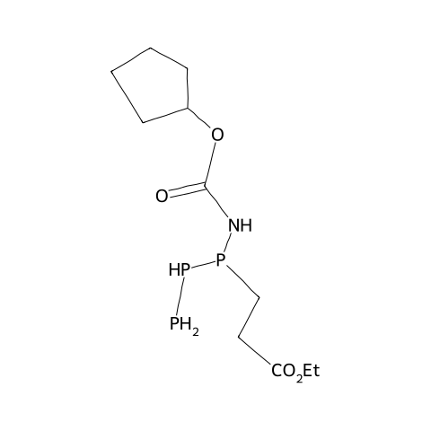 CCOC(=O)CCP(NC(=O)OC1CCCC1)PP